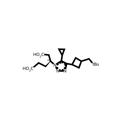 CC(C)(C)CC1CC(c2nnn([C@@H](CCC(=O)O)CC(=O)O)c2C2CC2)C1